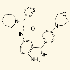 N=C(c1ccc(N2CCOCC2)cc1)c1cc(NC(=O)C(c2ccsc2)N2CCCCC2)ccc1N